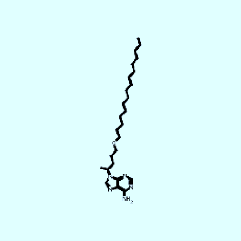 CCCCCCCCCCCCCCCCOCCC[C](C)n1cnc2c(N)ncnc21